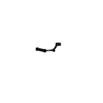 O=BSO